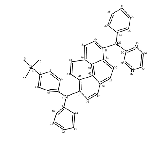 C[Si](C)(C)c1ccc(N(c2ccccc2)c2ccc3ccc4c(N(c5ccccc5)c5cnccn5)ccc5ccc2c3c54)cc1